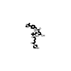 Cc1ncsc1-c1ccc(CNC(=O)[C@@H]2C[C@@H](O)CN2C(=O)[C@@H](NC(=O)CCCC(=O)N2CCNCC2)C(C)(C)C)cc1